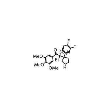 CCC(C(=O)c1cc(OC)c(OC)c(OC)c1)(C1(c2ccc(F)c(F)c2)CCNC1)S(=O)(=O)O